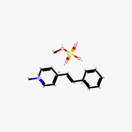 COS(=O)(=O)[O-].C[n+]1ccc(C=Cc2ccccc2)cc1